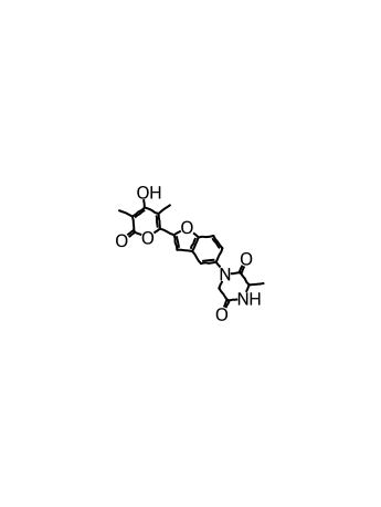 Cc1c(-c2cc3cc(N4CC(=O)NC(C)C4=O)ccc3o2)oc(=O)c(C)c1O